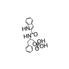 O=C(NC(COP(=O)(O)O)Cc1ccccc1)c1cc2ccccc2[nH]1